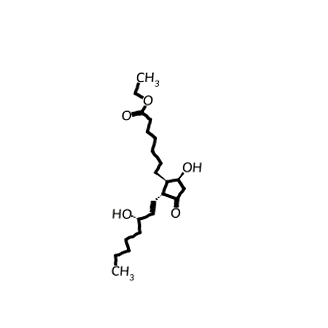 CCCCC[C@H](O)/C=C/[C@H]1C(=O)C[C@H](O)[C@@H]1CCCCCCC(=O)OCC